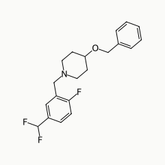 Fc1ccc(C(F)F)cc1CN1CCC(OCc2ccccc2)CC1